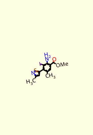 COC(=O)c1cc(C)c(-c2cc(C)ns2)c(I)c1N